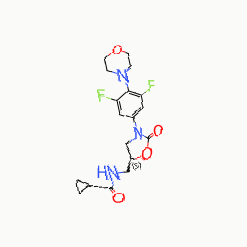 O=C(NC[C@H]1CN(c2cc(F)c(N3CCOCC3)c(F)c2)C(=O)O1)C1CC1